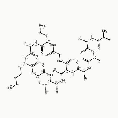 CC[C@H](C)[C@H](NC(=O)[C@H](C)N)C(=O)N[C@@H](C)C(=O)N[C@H](C(=O)N[C@@H](CC(C)C)C(=O)NCC(=O)N[C@@H](CCC(=O)O)C(=O)N[C@@H](C)C(=O)N[C@@H](CCCCN)C(=O)N[C@@H](C)C(=O)N[C@@H](CC(C)C)C(N)=O)C(C)C